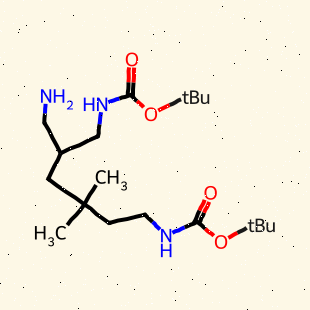 CC(C)(CCNC(=O)OC(C)(C)C)CC(CN)CNC(=O)OC(C)(C)C